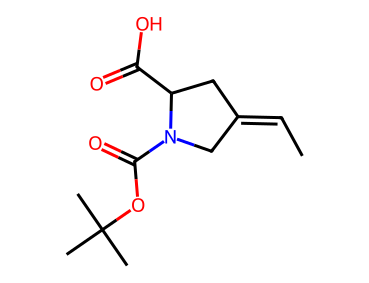 CC=C1CC(C(=O)O)N(C(=O)OC(C)(C)C)C1